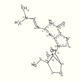 CN(C)C=Nc1nc2c(ncn2C2OC3(CO)COC2C3O)c(=O)[nH]1